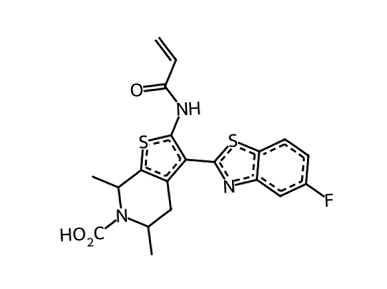 C=CC(=O)Nc1sc2c(c1-c1nc3cc(F)ccc3s1)CC(C)N(C(=O)O)C2C